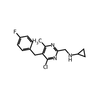 Cc1nc(CNC2CC2)nc(Cl)c1Cc1ccc(F)cc1